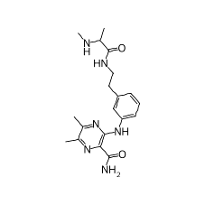 CNC(C)C(=O)NCCc1cccc(Nc2nc(C)c(C)nc2C(N)=O)c1